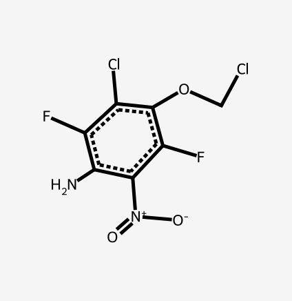 Nc1c(F)c(Cl)c(OCCl)c(F)c1[N+](=O)[O-]